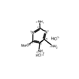 COc1nc(N)nc(N)c1N.Cl.Cl